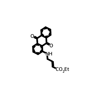 CCOC(=O)/C=C/CNc1cccc2c1C(=O)c1ccccc1C2=O